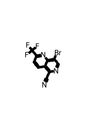 N#Cc1ncc(Br)c2nc(C(F)(F)F)ccc12